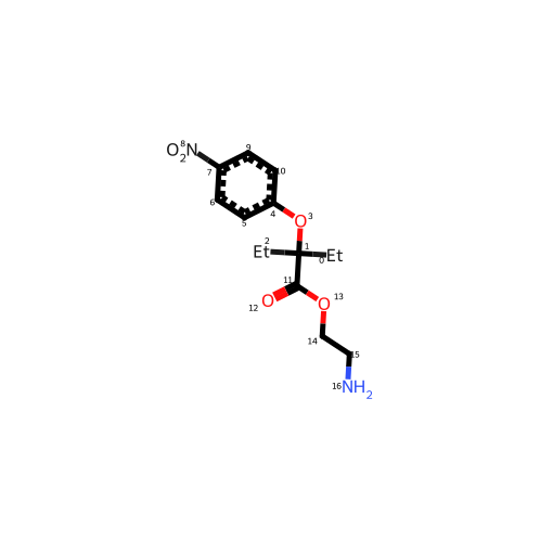 CCC(CC)(Oc1ccc([N+](=O)[O-])cc1)C(=O)OCCN